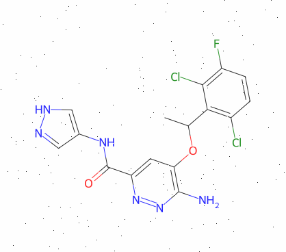 CC(Oc1cc(C(=O)Nc2cn[nH]c2)nnc1N)c1c(Cl)ccc(F)c1Cl